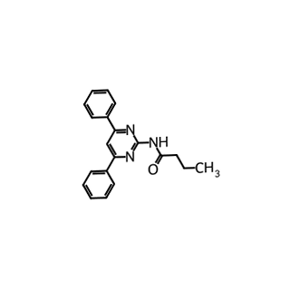 CCCC(=O)Nc1nc(-c2ccccc2)cc(-c2ccccc2)n1